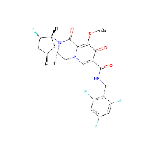 CCCCOc1c2n(cc(C(=O)NCc3c(F)cc(F)cc3F)c1=O)C[C@H]1[C@@H]3C[C@@H](F)[C@@H](C3)N1C2=O